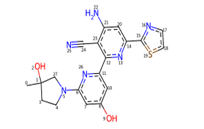 CC1(O)CCN(c2cc(O)cc(-c3nc(-c4nccs4)cc(N)c3C#N)n2)C1